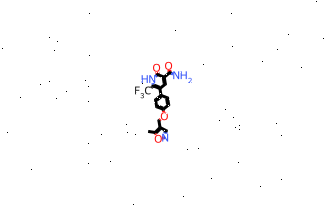 Cc1oncc1COc1ccc(-c2cc(C(N)=O)c(=O)[nH]c2C(F)(F)F)cc1